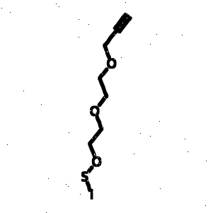 C#CCOCCOCCOSI